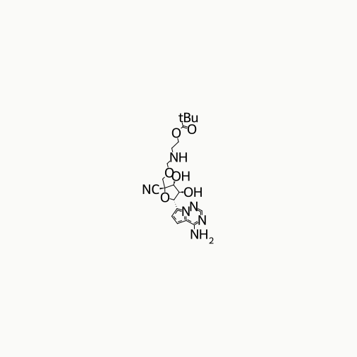 CC(C)(C)C(=O)OCCNCOC[C@@]1(C#N)O[C@@H](c2ccc3c(N)ncnn23)[C@H](O)[C@@H]1O